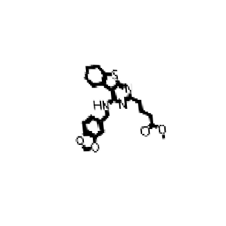 COC(=O)CCCc1nc(NCc2ccc3c(c2)OCO3)c2c3c(sc2n1)CCCC3